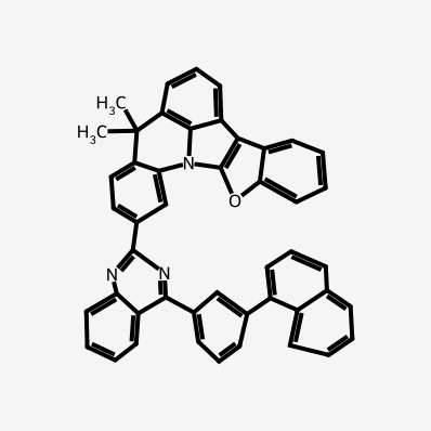 CC1(C)c2ccc(-c3nc(-c4cccc(-c5cccc6ccccc56)c4)c4ccccc4n3)cc2-n2c3oc4ccccc4c3c3cccc1c32